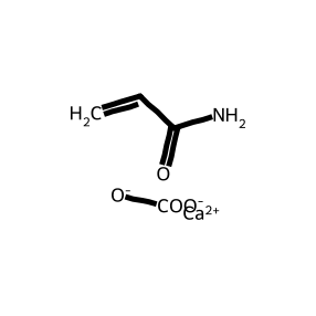 C=CC(N)=O.O=C([O-])[O-].[Ca+2]